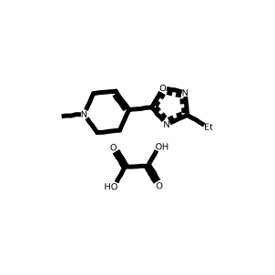 CCc1noc(C2=CCN(C)CC2)n1.O=C(O)C(=O)O